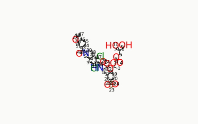 CC(OC(=O)OCC(CO)CO)OC(=O)[C@H](Cc1cccc(S(C)(=O)=O)c1)NC(=O)c1c(Cl)cc2c(c1Cl)CCN(C(=O)c1ccc3ccoc3c1)C2